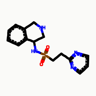 O=S(=O)(CCc1ncccn1)NC1CNCc2ccccc21